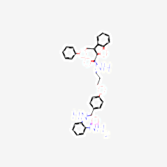 Nc1ccccc1NC(=O)c1ccc(OCCCNC(=O)c2oc3ccccc3c2COc2ccccc2)cc1